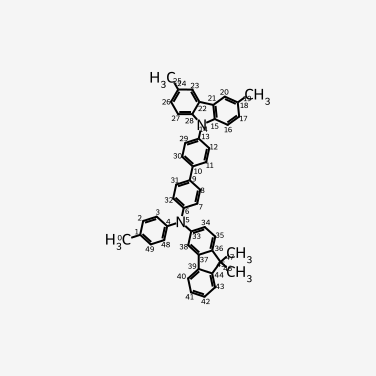 Cc1ccc(N(c2ccc(-c3ccc(-n4c5ccc(C)cc5c5cc(C)ccc54)cc3)cc2)c2ccc3c(c2)-c2ccccc2C3(C)C)cc1